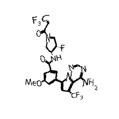 COc1cc(C(=O)N[C@@H]2CN(C(=O)CC(F)(F)F)C[C@@H]2F)cc(-c2cc(C(F)(F)F)c3c(N)ncnn23)c1